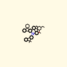 C=C1CC(CC)CC(CC)C12c1ccccc1-c1c(N(c3ccc4c(c3)-c3ccccc3C4(C)C)c3ccc4c(c3)-c3ccccc3C43CCCCC3)cccc12